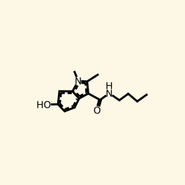 CCCCNC(=O)c1c(C)n(C)c2cc(O)ccc12